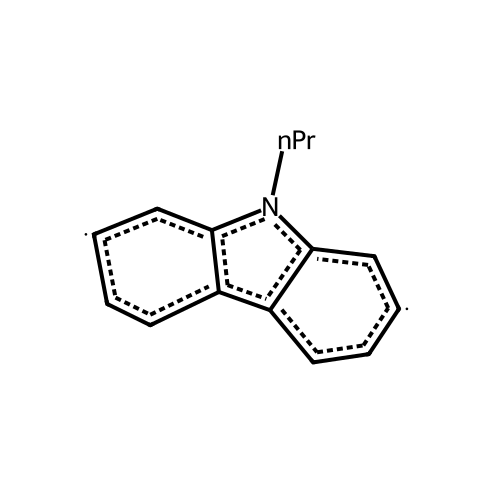 CCCn1c2c[c]ccc2c2cc[c]cc21